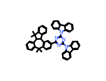 CC1(C)c2ccc(-c3nc(-n4c5ccccc5c5ccccc54)nc(-n4c5ccccc5c5ccccc54)n3)cc2C2c3ccccc3C(C)(C)C2c2ccccc21